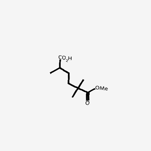 COC(=O)C(C)(C)CCC(C)C(=O)O